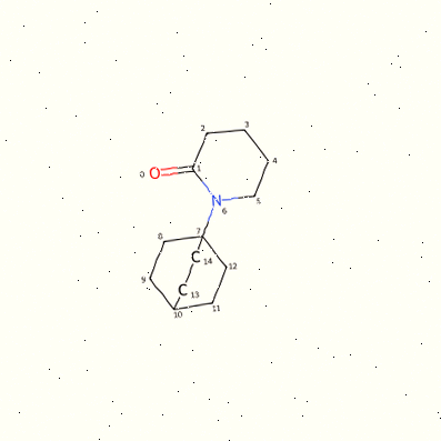 O=C1CCCCN1C12CCC(CC1)CC2